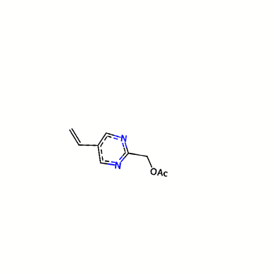 C=Cc1cnc(COC(C)=O)nc1